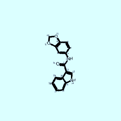 O=C(Nc1ccc2c(c1)OCO2)c1c[nH]c2ccccc12